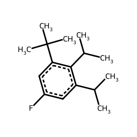 CC(C)c1cc(F)cc(C(C)(C)C)c1C(C)C